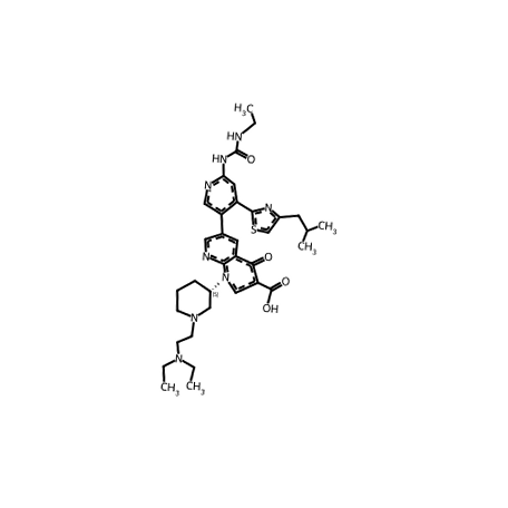 CCNC(=O)Nc1cc(-c2nc(CC(C)C)cs2)c(-c2cnc3c(c2)c(=O)c(C(=O)O)cn3[C@H]2CCCN(CCN(CC)CC)C2)cn1